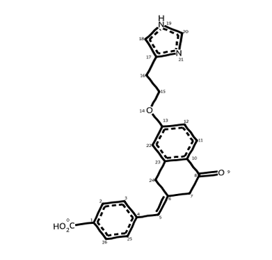 O=C(O)c1ccc(C=C2CC(=O)c3ccc(OCCc4c[nH]cn4)cc3C2)cc1